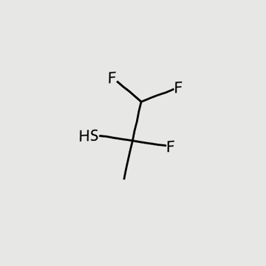 CC(F)(S)C(F)F